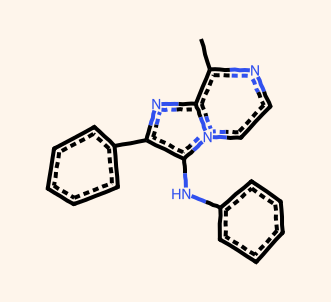 Cc1nccn2c(Nc3ccccc3)c(-c3ccccc3)nc12